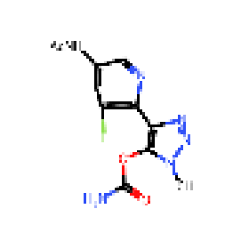 CC(=O)Nc1cnc(-c2nnn(C)c2OC(N)=O)c(F)c1